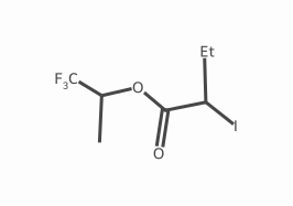 CCC(I)C(=O)OC(C)C(F)(F)F